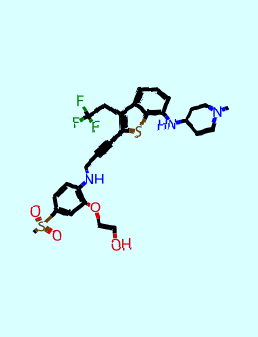 CN1CCC(Nc2cccc3c(CC(F)(F)F)c(C#CCNc4ccc(S(C)(=O)=O)cc4OCCO)sc23)CC1